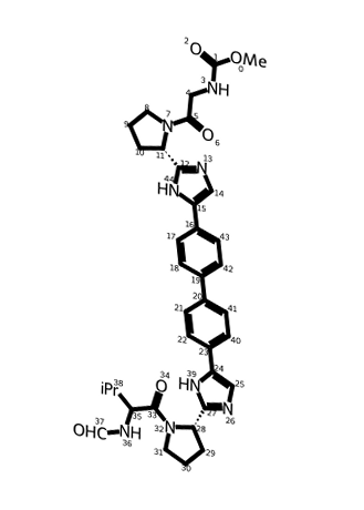 COC(=O)NCC(=O)N1CCC[C@H]1c1ncc(-c2ccc(-c3ccc(-c4cnc([C@@H]5CCCN5C(=O)C(NC=O)C(C)C)[nH]4)cc3)cc2)[nH]1